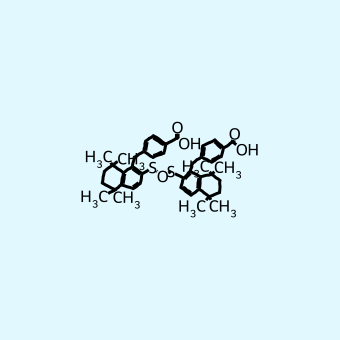 CC1(C)CCC(C)(C)c2c1ccc(SOSc1ccc3c(c1Cc1ccc(C(=O)O)cc1)C(C)(C)CCC3(C)C)c2Cc1ccc(C(=O)O)cc1